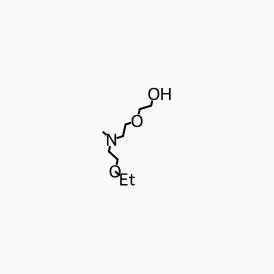 CCOCCN(C)CCOCCO